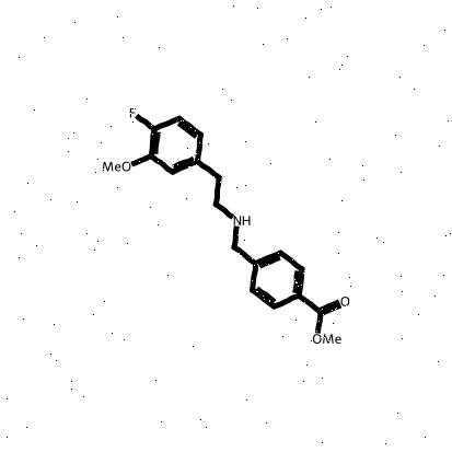 COC(=O)c1ccc(CNCCc2ccc(F)c(OC)c2)cc1